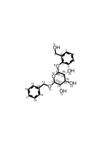 OCc1ccccc1O[C@@H]1O[C@H](OCc2ccccc2)[C@@H](O)[C@H](O)[C@H]1O